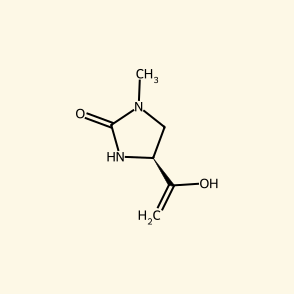 C=C(O)[C@@H]1CN(C)C(=O)N1